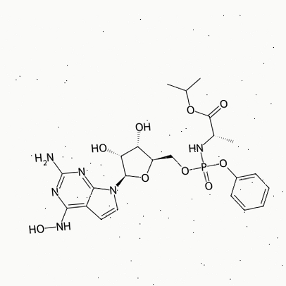 CC(C)OC(=O)[C@H](C)NP(=O)(OC[C@H]1O[C@@H](n2ccc3c(NO)nc(N)nc32)[C@H](O)[C@@H]1O)Oc1ccccc1